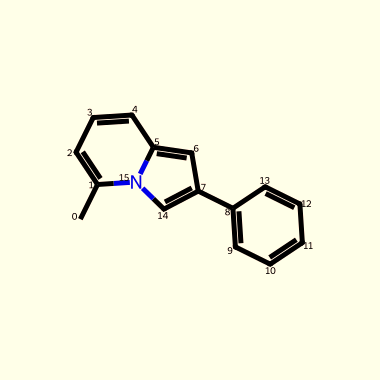 Cc1cccc2cc(-c3ccccc3)cn12